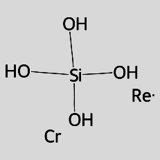 O[Si](O)(O)O.[Cr].[Re]